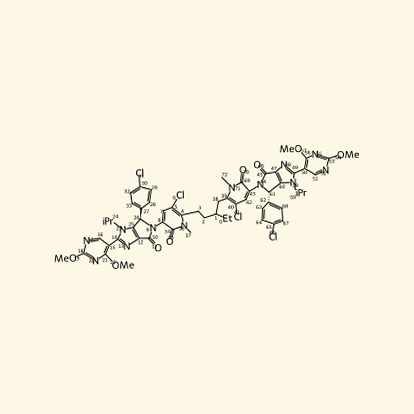 CCC(CCc1c(Cl)cc(N2C(=O)c3nc(-c4cnc(OC)nc4OC)n(C(C)C)c3[C@H]2c2ccc(Cl)cc2)c(=O)n1C)Cc1c(Cl)cc(N2C(=O)c3nc(-c4cnc(OC)nc4OC)n(C(C)C)c3[C@@H]2c2ccc(Cl)cc2)c(=O)n1C